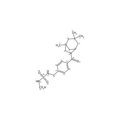 CC1(C)CC2CC(C)(CN2C(=O)c2ccc(CNS(=O)(=O)NC(=O)O)cc2)C1